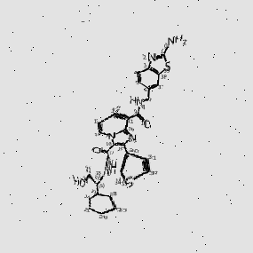 Nc1nc2ccc(CNC(=O)c3cccn4c(C(=O)N[C@H](CO)C5CCCCC5)c(-c5ccsc5)nc34)cc2s1